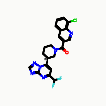 O=C(c1cnc2c(Cl)cccc2c1)N1CCC[C@H](c2cc(C(F)F)nc3ncnn23)C1